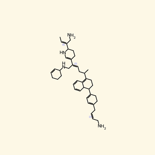 C/C=C(\CN)C1CCC(/C(=C/CC(C)C2=C3C=CC=CC3C(C3=CC=C(C/C=C\CN)CC3)CC2)CNC2C=CCCC2)=CN1